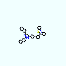 c1cc(-c2ccc(-c3cc(-c4ccc5ccccc5c4)nc(-c4ccc5ccccc5c4)n3)cc2)cc(-c2c3ccccc3n3c2sc2ccccc23)c1